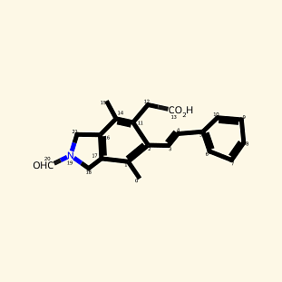 Cc1c(/C=C/c2ccccc2)c(CC(=O)O)c(C)c2c1CN(C=O)C2